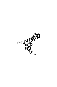 Cc1ccc(C(CC(=O)O)NC(=O)c2cc(O)n(-c3ccccc3)n2)c(F)c1